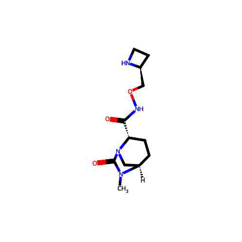 CN1C(=O)N2C[C@H]1CC[C@H]2C(=O)NOC[C@@H]1CCN1